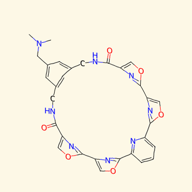 CN(C)Cc1cc2cc(c1)CNC(=O)c1coc(n1)-c1coc(n1)-c1cccc(n1)-c1nc(co1)-c1nc(co1)C(=O)NC2